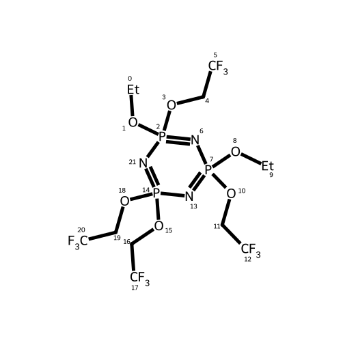 CCOP1(OCC(F)(F)F)=NP(OCC)(OCC(F)(F)F)=NP(OCC(F)(F)F)(OCC(F)(F)F)=N1